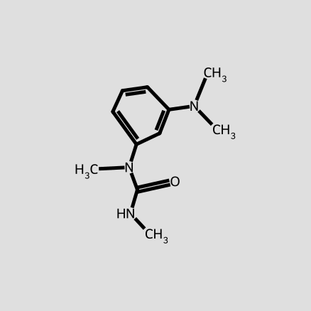 CNC(=O)N(C)c1cccc(N(C)C)c1